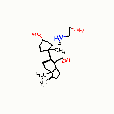 C=C1CCC2C(CO)C(C3(C)CCC(O)CC3CNCCO)CCC12C